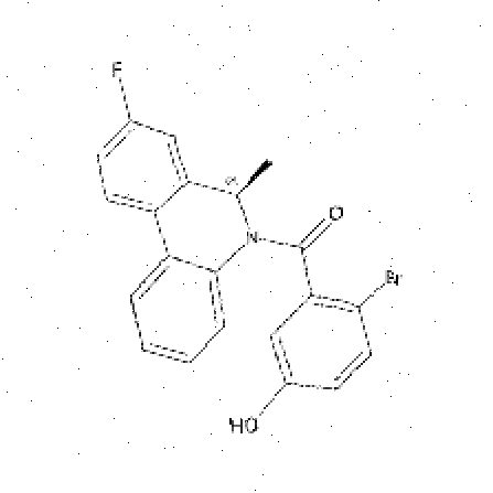 C[C@@H]1c2cc(F)ccc2-c2ccccc2N1C(=O)c1cc(O)ccc1Br